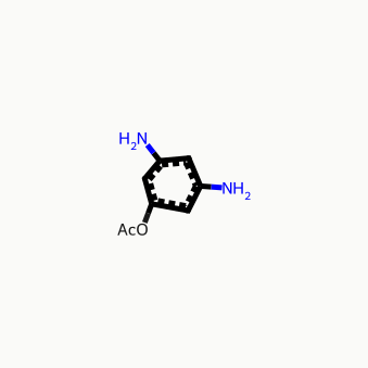 CC(=O)Oc1cc(N)cc(N)c1